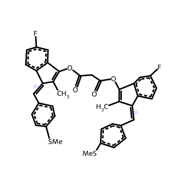 CSc1ccc(/C=C2\C(C)=C(OC(=O)CC(=O)OC3=C(C)/C(=C\c4ccc(SC)cc4)c4ccc(F)cc43)c3cc(F)ccc32)cc1